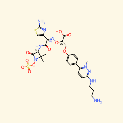 C[n+]1nc(NCCCN)ccc1-c1ccc(OC[C@H](O/N=C(\C(=O)N[C@@H]2C(=O)N(OS(=O)(=O)[O-])C2(C)C)c2csc(N)n2)C(=O)O)cc1